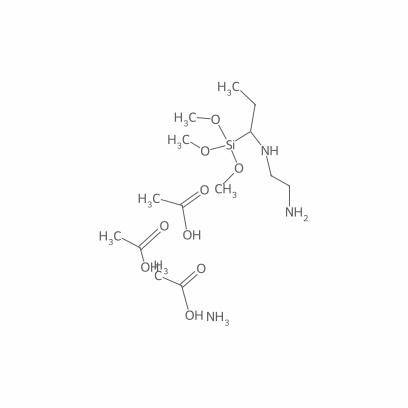 CC(=O)O.CC(=O)O.CC(=O)O.CCC(NCCN)[Si](OC)(OC)OC.N